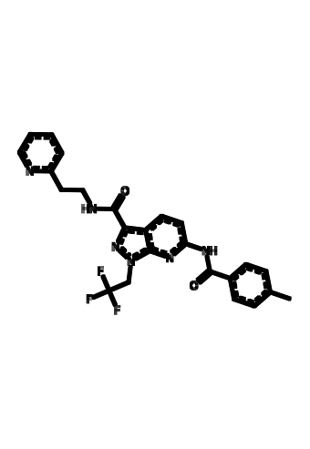 Cc1ccc(C(=O)Nc2ccc3c(C(=O)NCCc4ccccn4)nn(CC(F)(F)F)c3n2)cc1